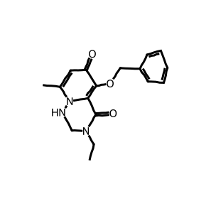 CCN1CNn2c(C)cc(=O)c(OCc3ccccc3)c2C1=O